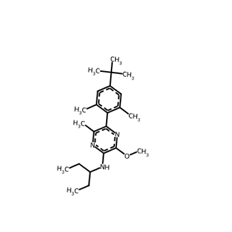 CCC(CC)Nc1nc(C)c(-c2c(C)cc(C(C)(C)C)cc2C)nc1OC